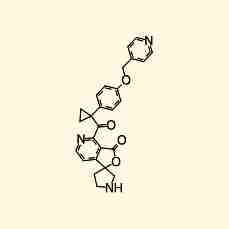 O=C1OC2(CCNC2)c2ccnc(C(=O)C3(c4ccc(OCc5ccncc5)cc4)CC3)c21